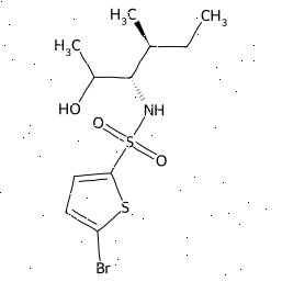 CC[C@H](C)[C@H](NS(=O)(=O)c1ccc(Br)s1)C(C)O